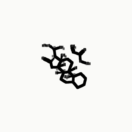 C=CC(=O)OC(C)(C)C.CCCCC[C@@H](C)[C@H]1C(=O)C[C@H]2[C@@H]3CCC4CCCC[C@]4(C)[C@H]3CC[C@]12C